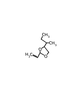 C=CC1OCC(C(C)CC)O1